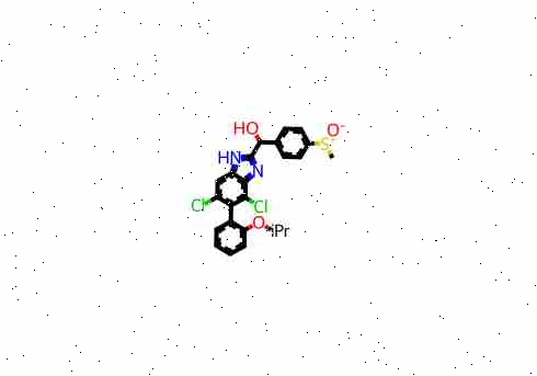 CC(C)Oc1ccccc1-c1c(Cl)cc2[nH]c(C(O)c3ccc([S+](C)[O-])cc3)nc2c1Cl